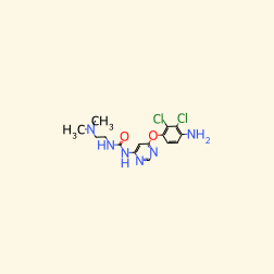 CN(C)CCNC(=O)Nc1cc(Oc2ccc(N)c(Cl)c2Cl)ncn1